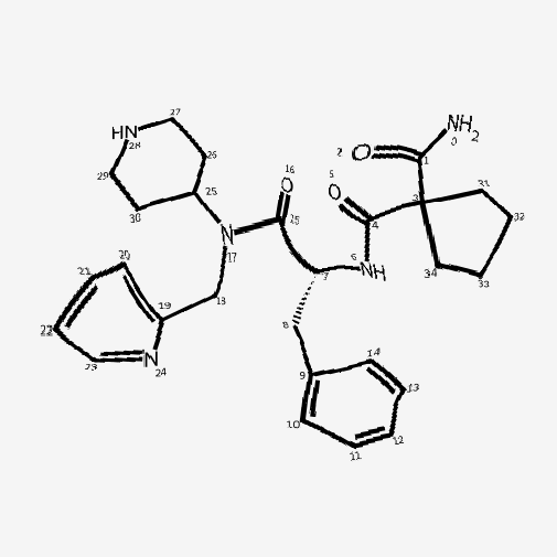 NC(=O)C1(C(=O)N[C@H](Cc2ccccc2)C(=O)N(Cc2ccccn2)C2CCNCC2)CCCC1